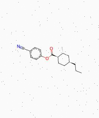 CCC[C@H]1CC[C@@H](C(=O)Oc2ccc(C#N)cc2)[C@H](C)C1